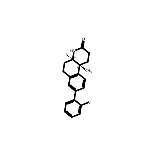 C[C@]12CCC(=O)N[C@@H]1CCc1cc(-c3ccccc3Cl)ccc12